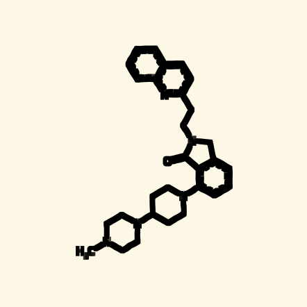 CN1CCN(C2CCN(c3cccc4c3C(=O)N(CCc3ccc5ccccc5n3)C4)CC2)CC1